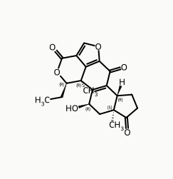 CC[C@H]1OC(=O)c2coc3c2[C@@]1(C)C1=C(C3=O)[C@@H]2CCC(=O)[C@@]2(C)C[C@H]1O